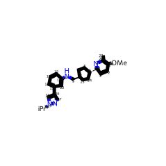 COc1ccc([C@H]2CC[C@H](CNc3cccc(-c4cnn(C(C)C)c4)c3)CC2)nc1C